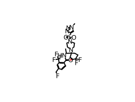 CC(NC(=O)c1ccc(CF)cc1C(F)(F)F)C1(N2CCN(S(=O)(=O)c3cn(C)nn3)CC2)CCC(F)(F)CC1